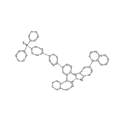 S=P(c1ccccc1)(c1ccccc1)c1ccc(-c2ccc(-c3ccc4c(c3)c3c5ccccc5ccc3c3nc5ccc(-c6cccc7ccccc67)cc5n43)cc2)cc1